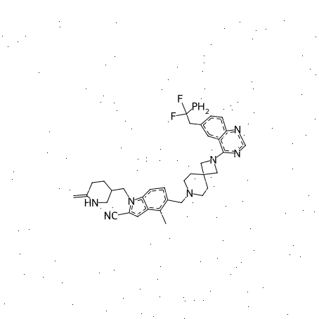 C=C1CCC(Cn2c(C#N)cc3c(C)c(CN4CCC5(CC4)CN(c4ncnc6ccc(CC(F)(F)P)cc46)C5)ccc32)CN1